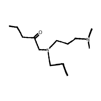 CCCC(=O)CN(CCC)CCCN(C)C